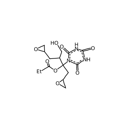 CCC(=O)OC(CC1CO1)(C(CO)CC1CO1)n1c(=O)[nH]c(=O)[nH]c1=O